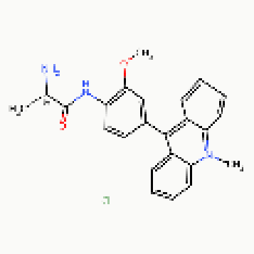 COc1cc(-c2c3ccccc3[n+](C)c3ccccc23)ccc1NC(=O)[C@H](C)N.[Cl-]